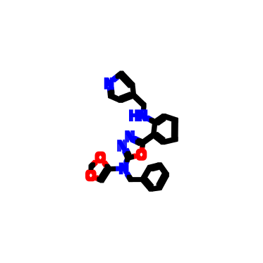 C1=C(N(Cc2ccccc2)c2nnc(-c3ccccc3NCc3ccncc3)o2)OCO1